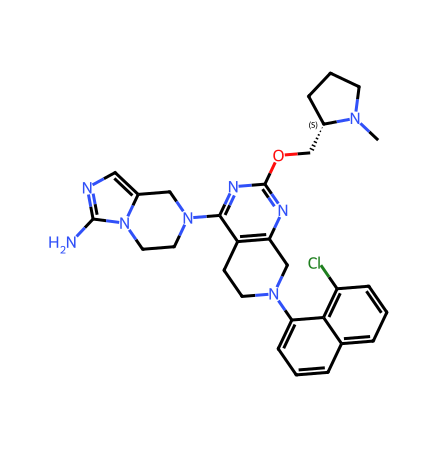 CN1CCC[C@H]1COc1nc2c(c(N3CCn4c(cnc4N)C3)n1)CCN(c1cccc3cccc(Cl)c13)C2